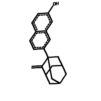 C=C1C2CC3CC(C2)CC1(c1ccc2ccc(O)cc2c1)C3